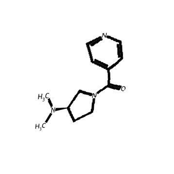 CN(C)[C@@H]1CCN(C(=O)c2ccncc2)C1